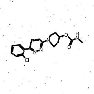 CNC(=O)OC1CCN(c2ccc(-c3ccccc3Cl)nn2)CC1